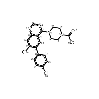 CCC(=O)N1CCN(c2ncnc3cc(Cl)c(-c4ccc(Cl)cc4)cc23)CC1